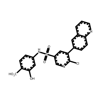 O=C(O)c1ccc(NS(=O)(=O)c2cnc(Cl)c(-c3ccc4ncccc4c3)c2)cc1O